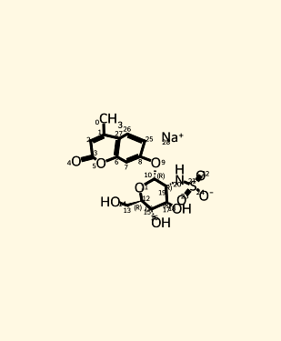 Cc1cc(=O)oc2cc(O[C@H]3O[C@H](CO)[C@@H](O)[C@H](O)[C@H]3NS(=O)(=O)[O-])ccc12.[Na+]